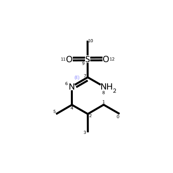 CCC(C)C(C)/N=C(\N)S(C)(=O)=O